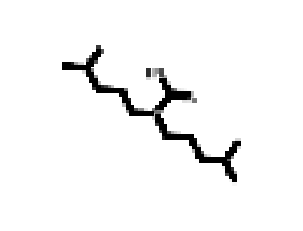 CC(C)CCCN(CCCC(C)C)C([NH])=O